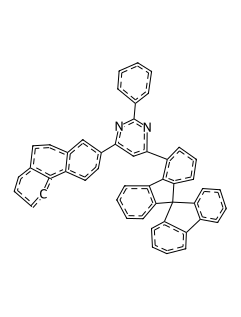 c1ccc(-c2nc(-c3ccc4c(ccc5ccccc54)c3)cc(-c3cccc4c3-c3ccccc3C43c4ccccc4-c4ccccc43)n2)cc1